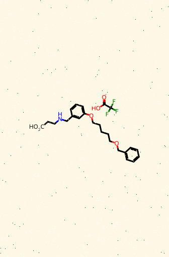 O=C(O)C(F)(F)F.O=C(O)CCNCc1cccc(OCCCCCOCc2ccccc2)c1